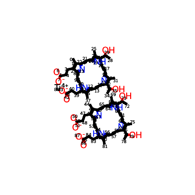 CC1=C(CCC(=O)[O-])c2cc3[nH]c(cc4nc(cc5[nH]c(cc1n2)c(C)c5C(C)O)C(C)=C4C(C)O)c(C)c3CCC(=O)[O-].CC1=C(CCC(=O)[O-])c2cc3[nH]c(cc4nc(cc5[nH]c(cc1n2)c(C)c5C(C)O)C(C)=C4C(C)O)c(C)c3CCC(=O)[O-].[Ti+4]